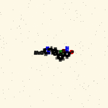 COc1cnc(Cc2ccc(-c3cccc(C4CCC(=O)NC4=O)c3Cl)cc2)nc1